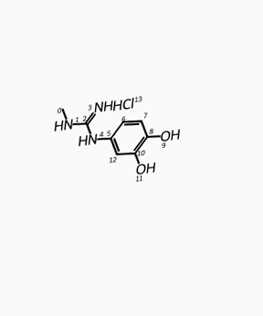 CNC(=N)Nc1ccc(O)c(O)c1.Cl